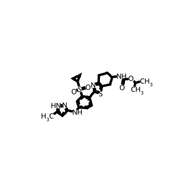 Cc1cc(Nc2ccc(-c3nc4c(s3)CC(NC(=O)OC(C)C)CC4)c(S(=O)(=O)C3CC3)c2)n[nH]1